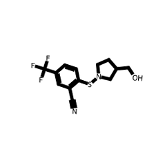 N#Cc1cc(C(F)(F)F)ccc1SN1CCC(CO)C1